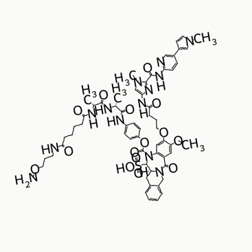 COc1cc2c(cc1OCCCC(=O)Nc1cn(C)c(C(=O)Nc3ccc(-c4ccn(C)c4)cn3)n1)N(C(=O)Oc1ccc(NC(=O)[C@@H](C)NC(=O)[C@@H](C)NC(=O)CCCCC(=O)NCCCON)cc1)C(S(=O)(=O)O)[C@@H]1Cc3ccccc3CN1C2=O